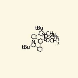 CC(C)(C)c1cncc(-c2ccccc2-c2cc(B3OC(C)(C)C(C)(C)O3)cc(-c3ccccc3-c3cncc(C(C)(C)C)c3)c2)c1